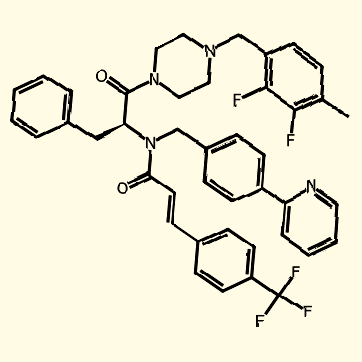 Cc1ccc(CN2CCN(C(=O)[C@H](Cc3ccccc3)N(Cc3ccc(-c4ccccn4)cc3)C(=O)C=Cc3ccc(C(F)(F)F)cc3)CC2)c(F)c1F